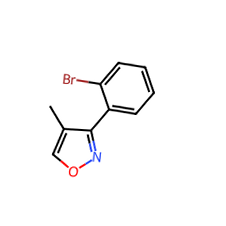 Cc1conc1-c1ccccc1Br